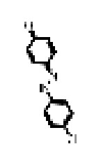 O=C1C=CC(=NNc2ccc(Cl)cc2)C=C1